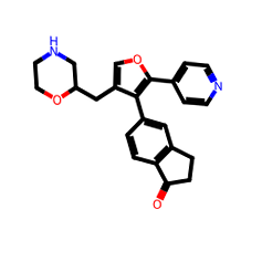 O=C1CCc2cc(-c3c(CC4CNCCO4)coc3-c3ccncc3)ccc21